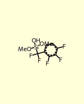 CO[Si](O)(OC)C(F)(F)c1ccc(F)c(F)c1F